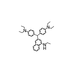 CCNc1cc(C(c2ccc(N(CC)CC)cc2)c2ccc(N(CC)CC)cc2)cc2ccccc12